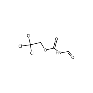 O=CNC(=O)OCC(Cl)(Cl)Cl